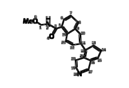 COCNC(=O)c1cccc2cc(-c3cccc4cnccc34)ccc12